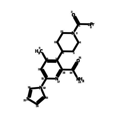 CCCC(=O)N1CCC(c2c(C)cc(-n3ccnc3)nc2C(N)=O)CC1